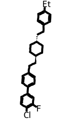 CCc1ccc(CC[C@H]2CC[C@H](CCc3ccc(-c4ccc(Cl)c(F)c4)cc3)CC2)cc1